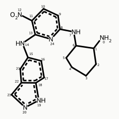 NC1CCCCC1Nc1ccc([N+](=O)[O-])c(Nc2ccc3[nH]ncc3c2)n1